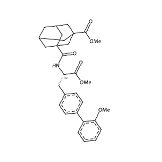 COC(=O)[C@H](Cc1ccc(-c2ccccc2OC)cc1)NC(=O)C12CC3CC(C1)CC(C(=O)OC)(C3)C2